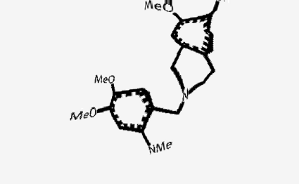 CNc1cc(OC)c(OC)cc1CN1CCc2cc(OC)c(OC)cc2C1